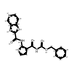 O=C(NC(=O)c1ccsc1NC(=O)c1nc2cnccc2s1)OCc1ccccc1